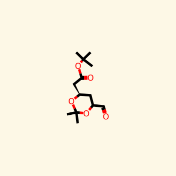 CC(C)(C)OC(=O)C[C@H]1CC(C=O)OC(C)(C)O1